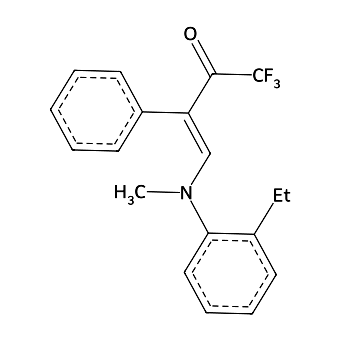 CCc1ccccc1N(C)/C=C(/C(=O)C(F)(F)F)c1ccccc1